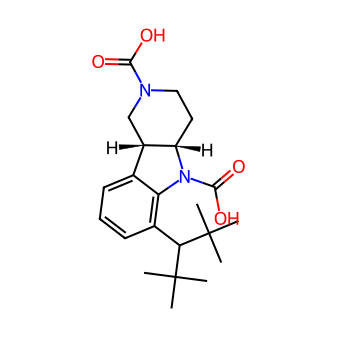 CC(C)(C)C(c1cccc2c1N(C(=O)O)[C@H]1CCN(C(=O)O)C[C@@H]21)C(C)(C)C